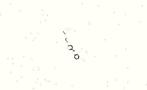 COCCOCCCSc1ccc(C(=O)Nc2ccc(C#N)cc2C(=O)O)cn1